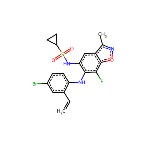 C=Cc1cc(Br)ccc1Nc1c(NS(=O)(=O)C2CC2)cc2c(C)noc2c1F